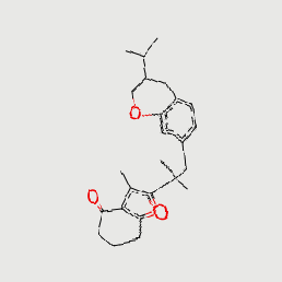 Cc1c(C(C)(C)Cc2ccc3c(c2)OCC(C(C)C)C3)oc2c1C(=O)CCC2